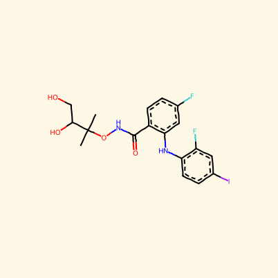 CC(C)(ONC(=O)c1ccc(F)cc1Nc1ccc(I)cc1F)C(O)CO